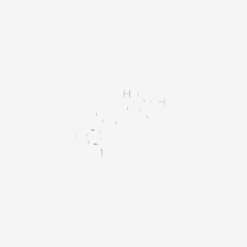 C=C(C)C(=O)OCCOC(=O)c1cc(I)cc(I)c1